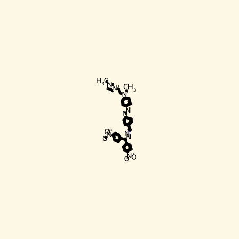 CCN(CC[n+]1ccn(C)c1)c1ccc(N=Nc2ccc(/C=N/N=C(c3ccc([N+](=O)[O-])cc3)c3ccc([N+](=O)[O-])cc3)cc2)cc1